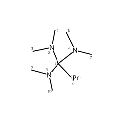 C[C](C)C(N(C)C)(N(C)C)N(C)C